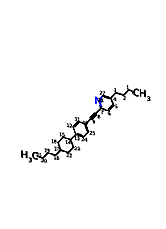 CCCCc1ccc(C#Cc2ccc(C3CCC(CCCC)CC3)cc2)nc1